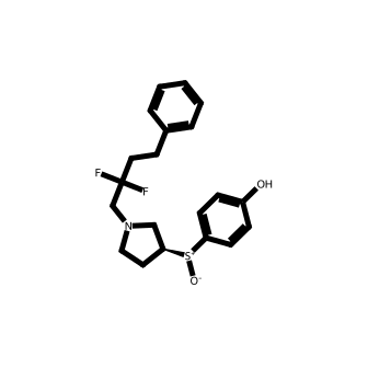 [O-][S+](c1ccc(O)cc1)[C@H]1CCN(CC(F)(F)CCc2ccccc2)C1